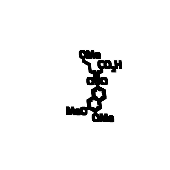 COCCCN(CC(=O)O)S(=O)(=O)c1ccc2cc(OC)c(OC)cc2c1